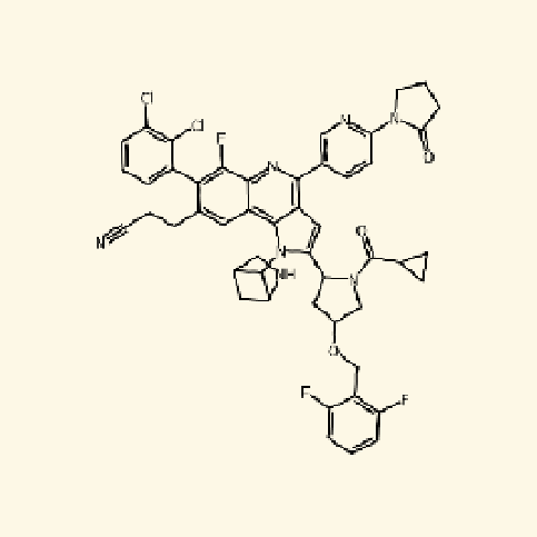 N#CCCc1cc2c(nc(-c3ccc(N4CCCC4=O)nc3)c3cc(C4CC(OCc5c(F)cccc5F)CN4C(=O)C4CC4)n(C4C5CNC4C5)c32)c(F)c1-c1cccc(Cl)c1Cl